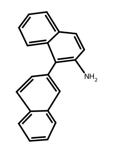 Nc1ccc2ccccc2c1-c1ccc2ccccc2c1